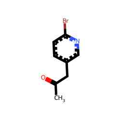 CC(=O)Cc1ccc(Br)nc1